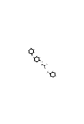 NC(COCc1ccccc1)C(=O)Nc1ccc(Oc2ccc(F)cc2)cc1